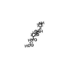 O=C(O)CCNC(=O)c1cccc(S(=O)(=O)NCCC2CCNCC2)c1